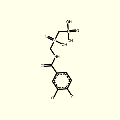 O=C(NCP(=O)(O)CP(=O)(O)O)c1ccc(Cl)c(Cl)c1